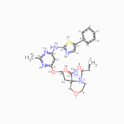 C=CC(=O)N1CCOCC1(CCOc1cc(Nc2ncc(-c3ccccc3)s2)nc(C)n1)C(N)=O